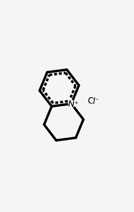 [Cl-].c1cc[n+]2c(c1)CCCC2